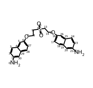 Nc1ccc2cc(OCCS(=O)(=O)CCOc3ccc4cc(N)ccc4c3)ccc2c1